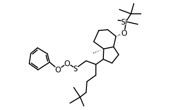 CC(C)(C)CCCC(CSOOc1ccccc1)C1CCC2[C@@H](O[Si](C)(C)C(C)(C)C)CCC[C@]12C